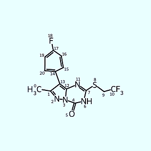 Cc1nn2c(=O)[nH]c(SCC(F)(F)F)nc2c1-c1ccc(F)cc1